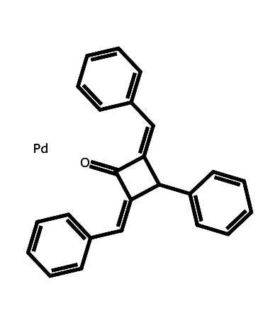 O=C1C(=Cc2ccccc2)C(c2ccccc2)C1=Cc1ccccc1.[Pd]